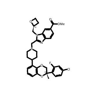 COC(=O)c1ccc2nc(CN3CCC(c4cccc5c4OC[C@](C)(c4ccc(Cl)cc4F)O5)CC3)n(C[C@@H]3CCO3)c2c1